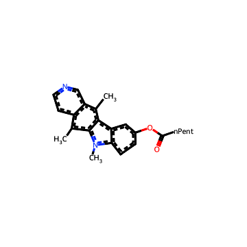 CCCCCC(=O)Oc1ccc2c(c1)c1c(C)c3cnccc3c(C)c1n2C